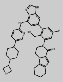 O=C1c2cc3c(n2CCN1c1cc(F)cc(-c2cc(Nc4ccc(N5CCN(C6COC6)CC5)cn4)c4nc[nH]c4c2)c1CO)CCCC3